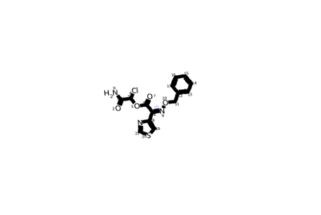 NC(=O)C(Cl)OC(=O)/C(=N\OCc1ccccc1)c1cscn1